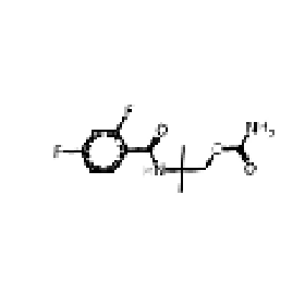 CC(C)(COC(N)=O)NC(=O)c1ccc(F)cc1F